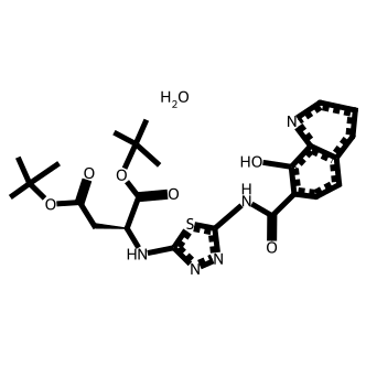 CC(C)(C)OC(=O)C[C@H](Nc1nnc(NC(=O)c2ccc3cccnc3c2O)s1)C(=O)OC(C)(C)C.O